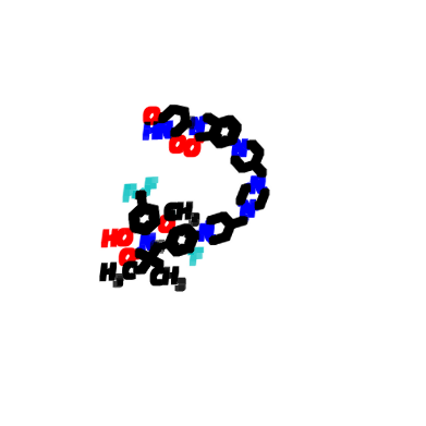 CCC1(CC)C(=O)N(c2ccc(C(F)F)cc2O)[C@H]1c1cc(F)c(N2CCC(CN3CCN(CC4CCN(c5ccc6c(c5)C(=O)N([C@H]5CCC(=O)NC5=O)C6)CC4)CC3)CC2)cc1OC